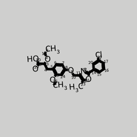 CCOC(Cc1ccc(OCc2nc(-c3cccc(Cl)c3)oc2C)cc1OC)C(=O)O